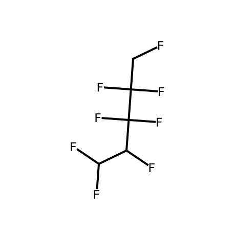 FCC(F)(F)C(F)(F)C(F)C(F)F